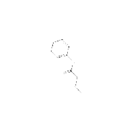 CCCC(=O)NC1=CCCC=C1